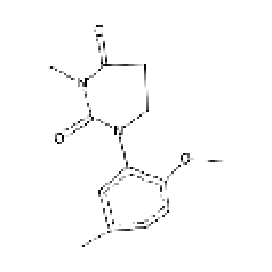 COc1ccc(C)cc1N1CCC(=O)N(C)C1=O